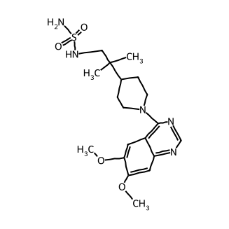 COc1cc2ncnc(N3CCC(C(C)(C)CNS(N)(=O)=O)CC3)c2cc1OC